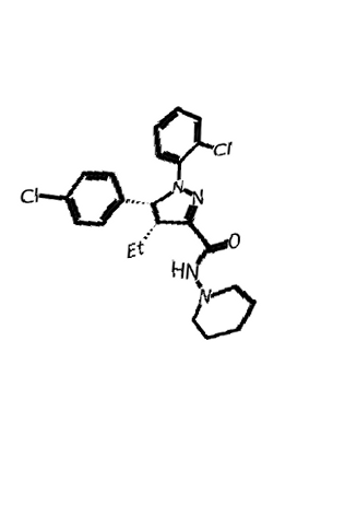 CC[C@H]1C(C(=O)NN2CCCCC2)=NN(c2ccccc2Cl)[C@H]1c1ccc(Cl)cc1